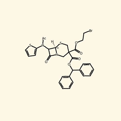 CC(=O)N(c1cccs1)C1C(=O)N2CC(C(=O)OCCBr)(C(=O)OC(c3ccccc3)c3ccccc3)CS[C@H]12